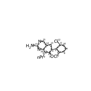 CCCn1c(=O)c(-c2c(Cl)cccc2Cl)cc2cnc(N)nc21